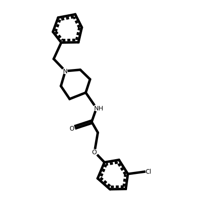 O=C(COc1cccc(Cl)c1)NC1CCN(Cc2ccccc2)CC1